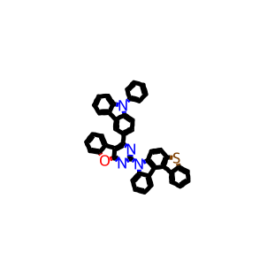 c1ccc(-n2c3ccccc3c3cc(-c4nc(-n5c6ccccc6c6c7c(ccc65)sc5ccccc57)nc5oc6ccccc6c45)ccc32)cc1